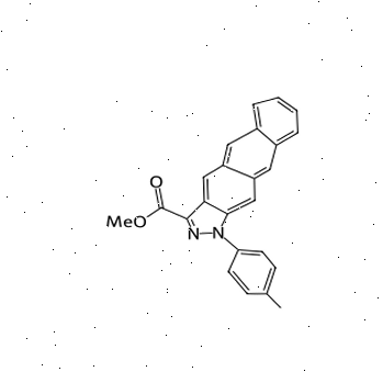 COC(=O)c1nn(-c2ccc(C)cc2)c2cc3cc4ccccc4cc3cc12